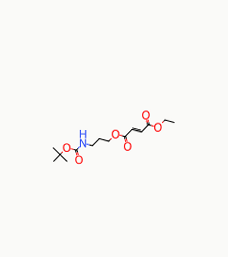 CCOC(=O)/C=C/C(=O)OCCCNC(=O)OC(C)(C)C